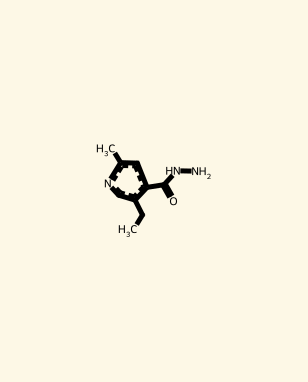 CCc1cnc(C)cc1C(=O)NN